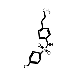 CCCc1ccc(NS(=O)(=O)c2ccc(Cl)cc2)cc1